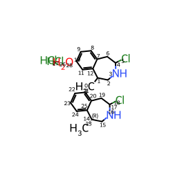 CC1CNC(Cl)Cc2ccccc21.C[C@H]1CNC(Cl)Cc2ccccc21.Cl.Cl.O